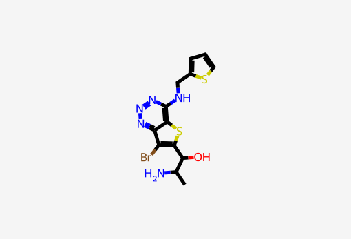 CC(N)C(O)c1sc2c(NCc3cccs3)nnnc2c1Br